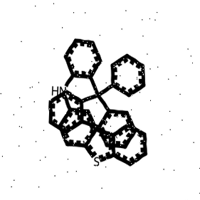 c1ccc(C2(c3ccccc3Nc3ccc4sc5ccccc5c4c3)c3ccccc3-c3ccccc32)cc1